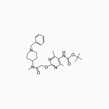 Cc1nc(OCC(=O)N(C)C2CCN(Cc3ccccc3)CC2)nc(C)c1NC(=O)OC(C)(C)C